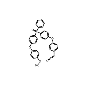 N#COc1ccc(Oc2ccc(P(=O)(c3ccccc3)c3ccc(Oc4ccc(N=C=O)cc4)cc3)cc2)cc1